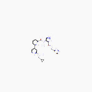 Cn1cc(NC(=O)c2cccc(-c3ccnc(NCC4CC4)c3)n2)c(C(=O)NCc2nncs2)n1